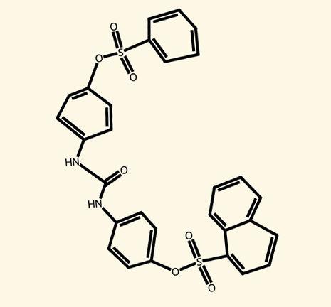 O=C(Nc1ccc(OS(=O)(=O)c2ccccc2)cc1)Nc1ccc(OS(=O)(=O)c2cccc3ccccc23)cc1